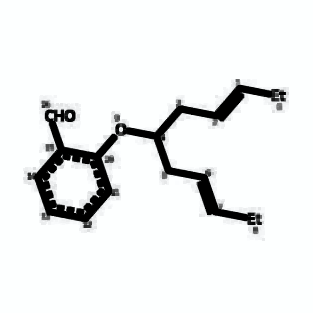 CCC=CCC(CC=CCC)Oc1ccccc1C=O